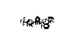 Cc1nc(C(F)(F)F)cnc1N[C@H]1CCC[C@@H]1NC(=O)c1ncccc1-c1ncccn1